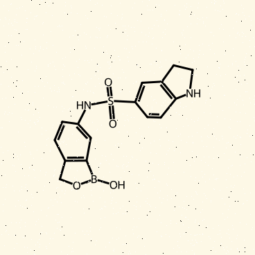 O=S(=O)(Nc1ccc2c(c1)B(O)OC2)c1ccc2c(c1)CCN2